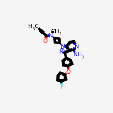 CC#CC(=O)N(C)[C@H]1C[C@@H](n2nc(-c3ccc(Oc4cccc(F)c4)cc3)c3c(N)nccc32)C1